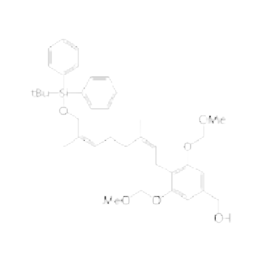 COCOc1cc(CO)cc(OCOC)c1CC=C(C)CCC=C(C)CO[Si](c1ccccc1)(c1ccccc1)C(C)(C)C